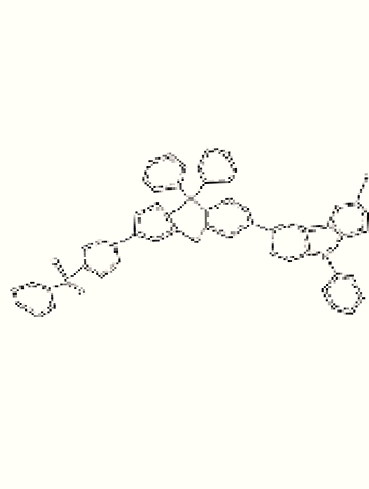 N#Cc1ccc2c(c1)c1cc(-c3ccc4c(c3)Oc3cc(-c5ccc(S(=O)(=O)c6ccccc6)cc5)ccc3C4(c3ccccc3)c3ccccc3)ccc1n2-c1ccccc1